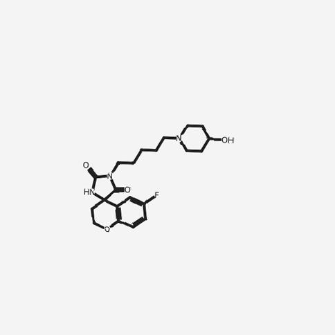 O=C1NC2(CCOc3ccc(F)cc32)C(=O)N1CCCCCN1CCC(O)CC1